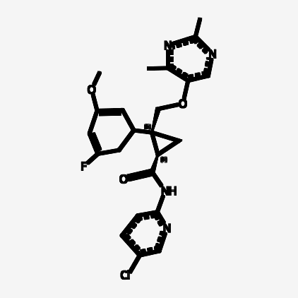 COC1=CC([C@]2(COc3cnc(C)nc3C)C[C@H]2C(=O)Nc2ccc(Cl)cn2)CC(F)=C1